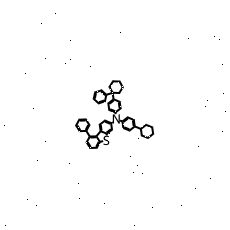 c1ccc(-c2cccc3sc4cc(N(c5ccc(C6CCCCC6)cc5)c5ccc(C6(c7ccccc7)CCCCC6)cc5)ccc4c23)cc1